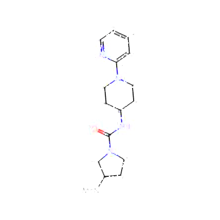 CNC1CCN(C(=O)NC2CCN(c3ccccn3)CC2)C1